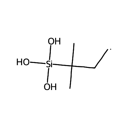 [CH2]CC(C)(C)[Si](O)(O)O